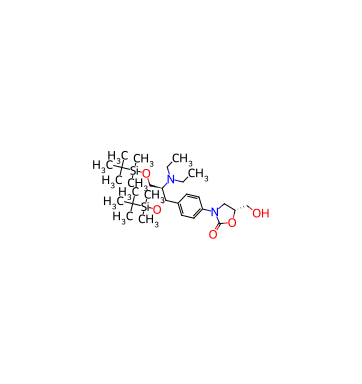 CCN(CC)[C@H](CO[Si](C)(C)C(C)(C)C)[C@@H](O[Si](C)(C)C(C)(C)C)c1ccc(N2C[C@H](CO)OC2=O)cc1